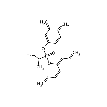 C=C/C=C\C(=C/C=C)OP(=O)(OC(/C=C\C=C)=C/C=C)C(C)C